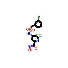 Cl.O=C(NO)c1cc(NS(=O)(=O)Cc2cccc(F)c2)ccn1